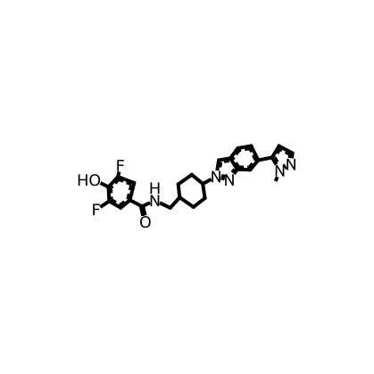 Cn1nccc1-c1ccc2cn(C3CCC(CNC(=O)c4cc(F)c(O)c(F)c4)CC3)nc2c1